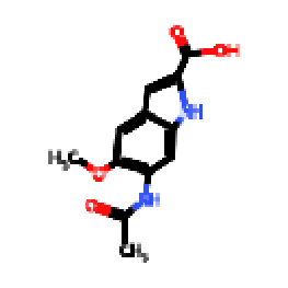 COc1cc2cc(C(=O)O)[nH]c2cc1NC(C)=O